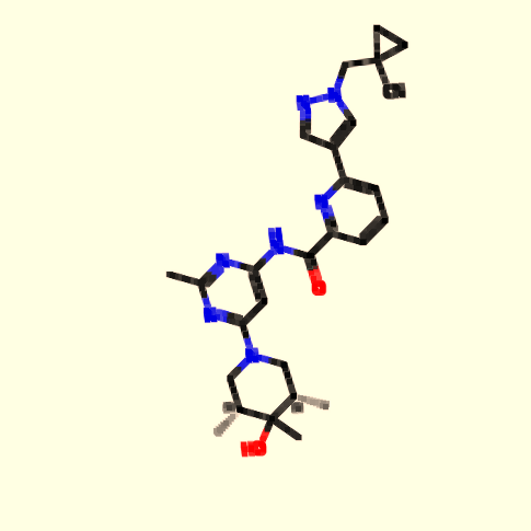 Cc1nc(NC(=O)c2cccc(-c3cnn(CC4(C#N)CC4)c3)n2)cc(N2C[C@@H](C)C(C)(O)[C@@H](C)C2)n1